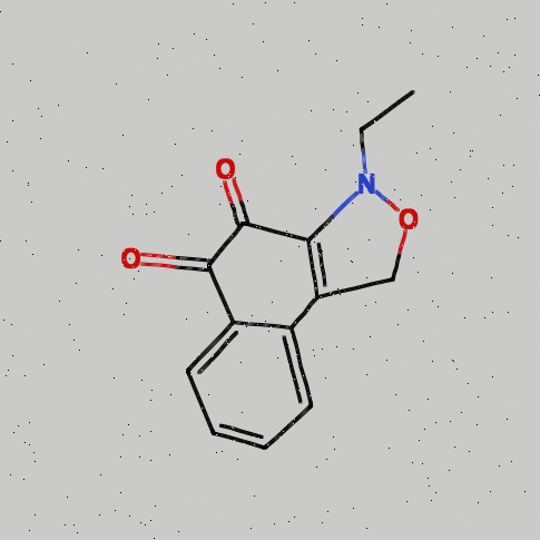 CCN1OCC2=C1C(=O)C(=O)c1ccccc12